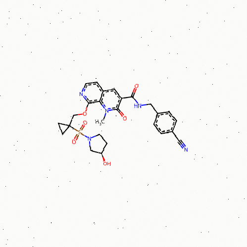 Cn1c(=O)c(C(=O)NCc2ccc(C#N)cc2)cc2ccnc(OCC3(S(=O)(=O)N4CC[C@@H](O)C4)CC3)c21